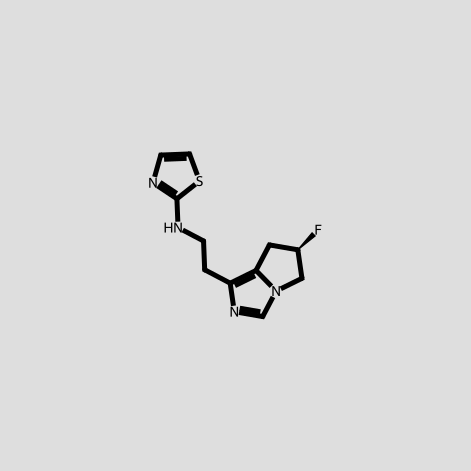 F[C@@H]1Cc2c(CCNc3nccs3)ncn2C1